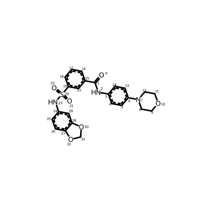 O=C(Nc1ccc(N2CCOCC2)cc1)c1cccc(S(=O)(=O)Nc2ccc3c(c2)OCO3)c1